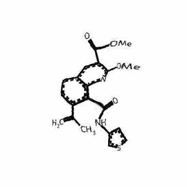 C=C(C)c1ccc2cc(C(=O)OC)c(OC)nc2c1C(=O)Nc1ccsc1